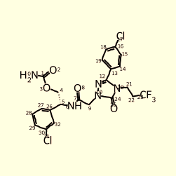 NC(=O)OC[C@H](NC(=O)Cn1nc(-c2ccc(Cl)cc2)n(CCC(F)(F)F)c1=O)c1cccc(Cl)c1